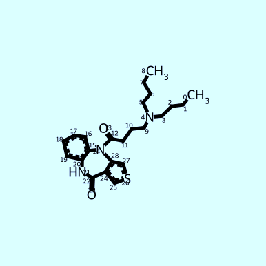 CCCCN(CCCC)CCCC(=O)N1c2ccccc2NC(=O)c2cscc21